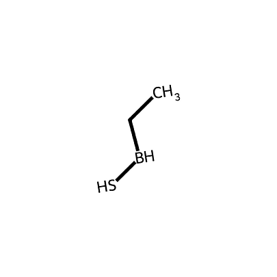 CCBS